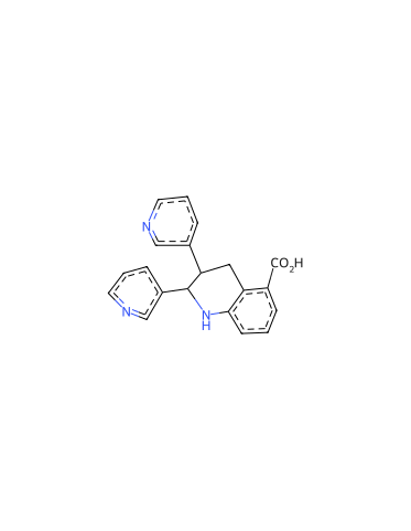 O=C(O)c1cccc2c1CC(c1cccnc1)C(c1cccnc1)N2